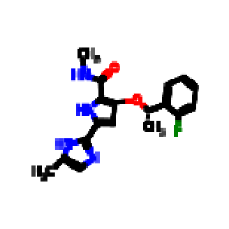 CNC(=O)c1[nH]c(-c2ncc(C)[nH]2)cc1O[C@@H](C)c1ccccc1F